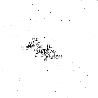 BC1(B)c2ncc(O)cc2C(=O)N1Cc1c(F)cc(-c2cccc3nn(C)cc23)cc1F